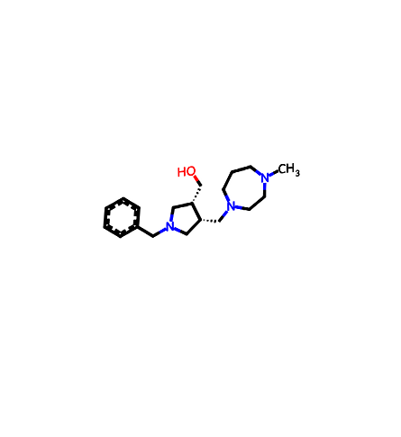 CN1CCCN(C[C@@H]2CN(Cc3ccccc3)C[C@@H]2CO)CC1